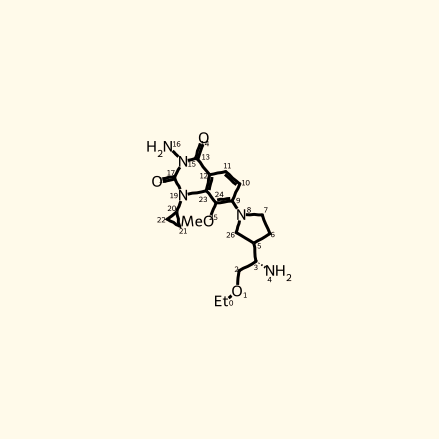 CCOC[C@@H](N)C1CCN(c2ccc3c(=O)n(N)c(=O)n(C4CC4)c3c2OC)C1